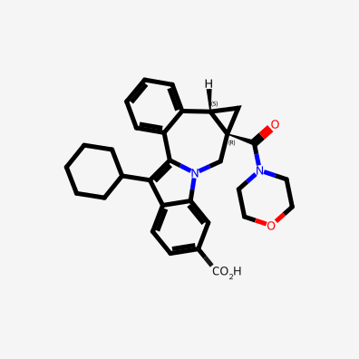 O=C(O)c1ccc2c(C3CCCCC3)c3n(c2c1)C[C@@]1(C(=O)N2CCOCC2)C[C@H]1c1ccccc1-3